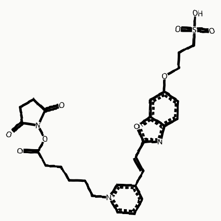 O=C(CCCCC[n+]1cccc(/C=C/c2nc3ccc(OCCCS(=O)(=O)O)cc3o2)c1)ON1C(=O)CCC1=O